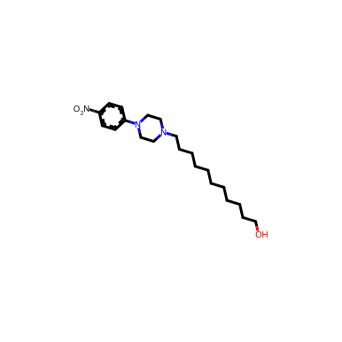 O=[N+]([O-])c1ccc(N2CCN(CCCCCCCCCCCO)CC2)cc1